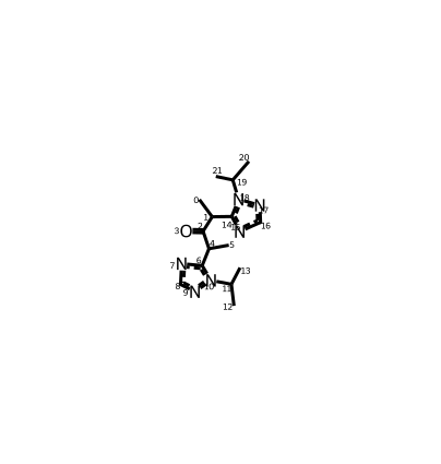 CC(C(=O)C(C)c1ncnn1C(C)C)c1ncnn1C(C)C